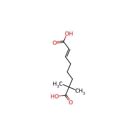 CC(C)(CCCC=CC(=O)O)C(=O)O